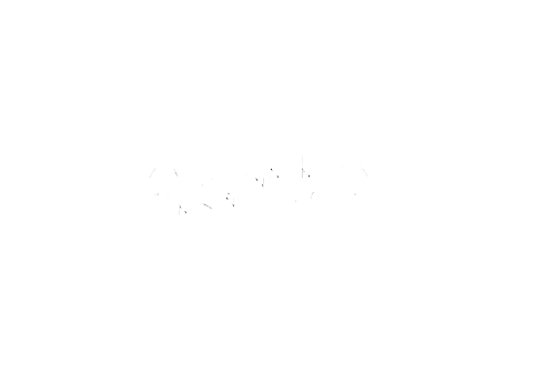 COc1ccc(C2=CSC(NN=Cc3cc4c5ccccc5n(C)c4cn3)N2)cc1